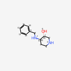 O[C@@H]1CNCC[C@H]1NCc1ccccc1